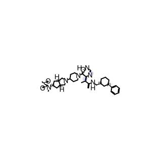 C=C(NC[C@H]1CCC[C@@H](c2ccccc2)C1)/C(C)=C(\N=C/N)C(=O)N1CCC(N2C[C@H]3C[C@@H](N(C)S(C)(=O)=O)C[C@H]3C2)CC1